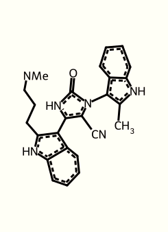 CNCCCc1[nH]c2ccccc2c1-c1[nH]c(=O)n(-c2c(C)[nH]c3ccccc23)c1C#N